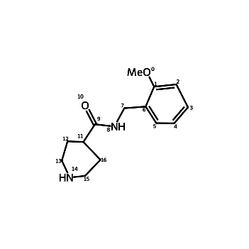 COc1ccccc1CNC(=O)C1CCNCC1